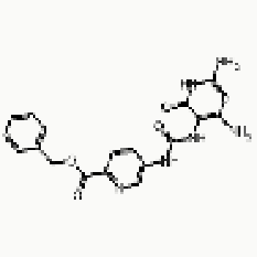 Nc1nc(N)c(NC(=O)Nc2ccc(C(=O)OCc3ccccc3)nc2)c(=O)[nH]1